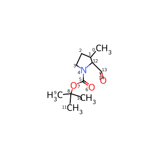 CC1CCN(C(=O)OC(C)(C)C)C1C=O